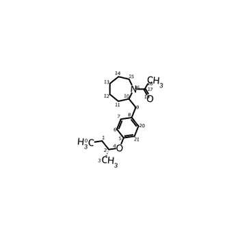 CC[C@@H](C)Oc1ccc(CC2CCCCCN2C(C)=O)cc1